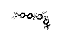 CN(C)c1ccc(-c2ccc(S(=O)(=O)N3CC[C@@H](Nc4ccc(C(F)(F)F)cn4)[C@@H](O)C3)cc2)cn1